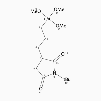 CO[Si](CCCC1CC(=O)N(C(C)(C)C)C1=O)(OC)OC